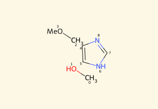 CO.COC.c1c[nH]cn1